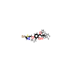 Cc1c(OCc2ncc(Br)s2)ccc(C(=O)CC(C)(C)C)c1O